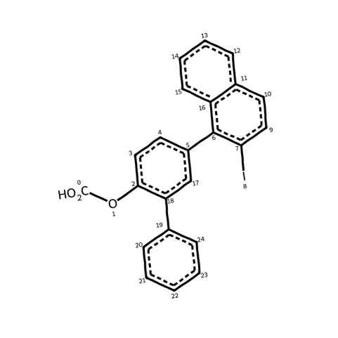 O=C(O)Oc1ccc(-c2c(I)ccc3ccccc23)cc1-c1ccccc1